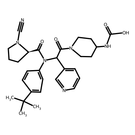 CC(C)(C)c1ccc(N(C(=O)[C@H]2CCCN2C#N)C(C(=O)N2CCC(NC(=O)O)CC2)c2cccnc2)cc1